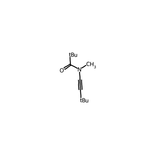 CN(C#CC(C)(C)C)C(=O)C(C)(C)C